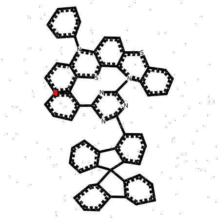 c1ccc(-c2nc(-c3cccc4c3-c3ccccc3C43c4ccccc4-c4ccccc43)nc(-n3c4ccccc4sc4ccc5c(sc6ccccc6n5-c5ccccc5)c43)n2)cc1